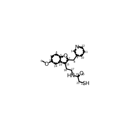 COc1ccc2oc(Cc3cccnc3)c(CCNC(=O)CS)c2c1